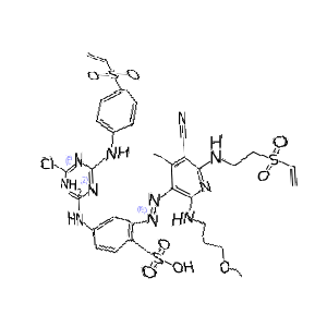 C=CS(=O)(=O)CCNc1nc(NCCCOC)c(/N=N/c2cc(NC(=C)/N=C(\N=C(/N)Cl)Nc3ccc(S(=O)(=O)C=C)cc3)ccc2S(=O)(=O)O)c(C)c1C#N